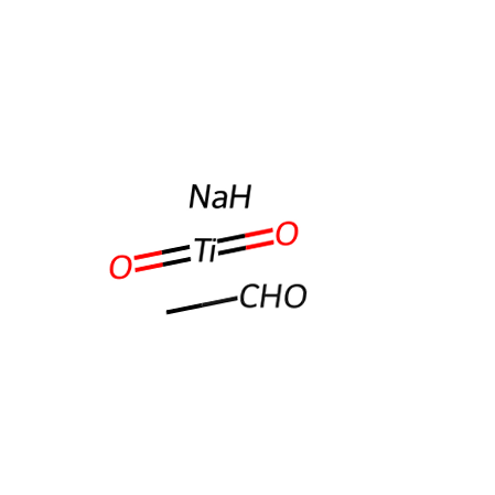 CC=O.[NaH].[O]=[Ti]=[O]